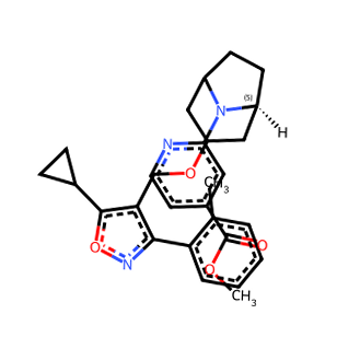 COC(=O)c1ccnc(N2C3CC[C@H]2CC(OCc2c(-c4ccccc4C)noc2C2CC2)C3)c1